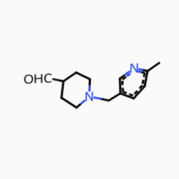 Cc1ccc(CN2CCC(C=O)CC2)cn1